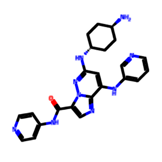 N[C@H]1CC[C@H](Nc2cc(Nc3cccnc3)c3ncc(C(=O)Nc4ccncc4)n3n2)CC1